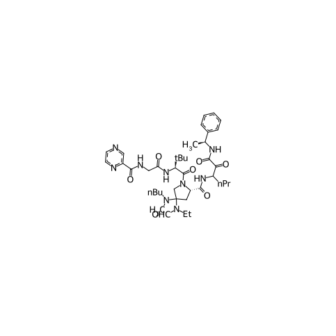 CCCCN(C)C1(N(C=O)CC)C[C@@H](C(=O)NC(CCC)C(=O)C(=O)N[C@@H](C)c2ccccc2)N(C(=O)[C@@H](NC(=O)CNC(=O)c2cnccn2)C(C)(C)C)C1